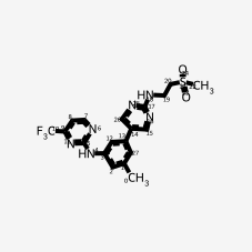 Cc1cc(Nc2nccc(C(F)(F)F)n2)cc(-c2cnc(NCCS(C)(=O)=O)nc2)c1